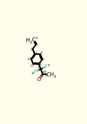 C=CCc1ccc(C(F)(F)C(C)=O)cc1